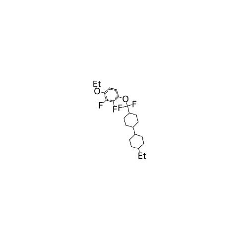 CCOc1ccc(OC(F)(F)C2CCC(C3CCC(CC)CC3)CC2)c(F)c1F